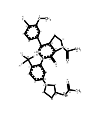 COc1cc(-c2nn(-c3cc(N4CCC(NC(C)=O)C4)ccc3C(F)(F)F)c(=O)c3c2CCN3C(N)=O)ccc1F